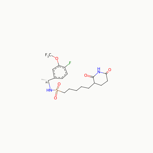 C[C@@H](NS(=O)(=O)CCCCCC1CCC(=O)NC1=O)c1ccc(F)c(OC(F)(F)F)c1